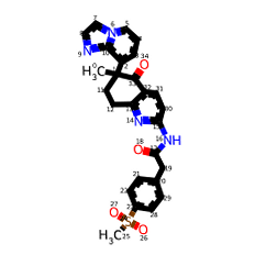 CC1(c2cccn3ccnc23)CCc2nc(NC(=O)Cc3ccc(S(C)(=O)=O)cc3)ccc2C1=O